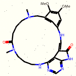 COc1cc2cc(c1OC)CN(C)CCCC(=O)N(C)CCCNc1ncnc3c1/C(=C\N2)C(=O)N3